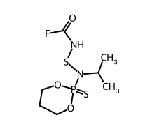 CC(C)N(SNC(=O)F)P1(=S)OCCCO1